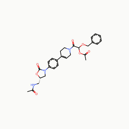 CC(=O)NC[C@H]1CN(c2ccc(C3=CCN(C(=O)C(OCc4ccccc4)OC(C)=O)CC3)cc2)C(=O)O1